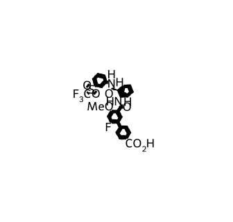 COc1cc(F)c(-c2ccc(C(=O)O)cc2)cc1C(=O)N[C@H]1[C@@H](C(=O)Nc2cccc(S(=O)(=O)C(F)(F)F)c2)[C@@H]2C=C[C@H]1C2